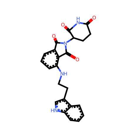 O=C1CCC(N2C(=O)c3cccc(NCCc4c[nH]c5ccccc45)c3C2=O)C(=O)N1